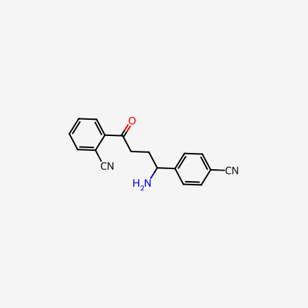 N#Cc1ccc(C(N)CCC(=O)c2ccccc2C#N)cc1